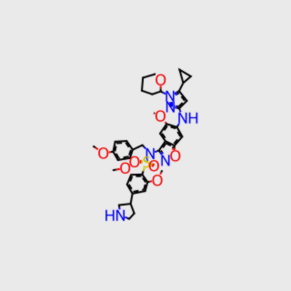 COc1ccc(CN(c2noc3cc(Nc4cc(C5CC5)n(C5CCCCO5)n4)c(OC)cc23)S(=O)(=O)c2c(OC)cc(C3CCNC3)cc2OC)cc1